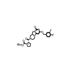 CC(C)(C)OC(=O)N1CCC[C@H]1C(=O)N1CCN2c3cc(OCc4ccc(F)c(F)c4)nc(=O)n3CC2C1